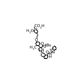 Cc1cc(OCCC[C@@H]2CCN(CC(=O)O)[C@H](C)C2)ccc1-c1ccc(N2CCc3cccc(C(=O)Nc4nc5ccccc5s4)c3C2)nc1C(=O)OC(C)(C)C